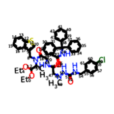 CCOC(OCC)[C@H](C)N(Cc1csc2ccccc12)C(=O)[C@H](CC(=O)NC(c1ccccc1)(c1ccccc1)c1ccccc1)NC(=O)CN(C)NC(=O)NCc1ccc(Cl)cc1